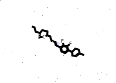 CCCC1CCC(CC/C=C/c2ccc(C3CC=C(C)CC3)c(F)c2F)CC1